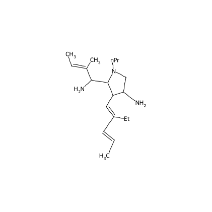 C/C=C/C(=C/C1C(N)CN(CCC)C1C(N)/C(C)=C/C)CC